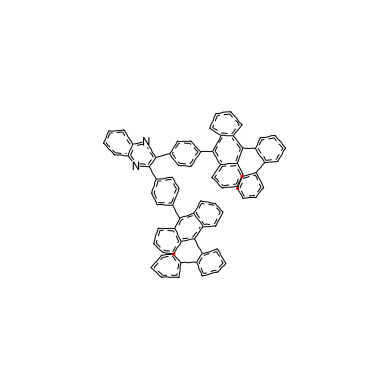 c1ccc(-c2ccccc2-c2c3ccccc3c(-c3ccc(-c4nc5ccccc5nc4-c4ccc(-c5c6ccccc6c(-c6ccccc6-c6ccccc6)c6ccccc56)cc4)cc3)c3ccccc23)cc1